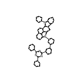 c1ccc(-c2nc(-c3ccccc3)nc(-c3cccc(-c4cccc(-n5c6cccc7ccc8c(c76)c5cc5c6ccccc6n(-c6ccccc6)c58)c4)c3)n2)cc1